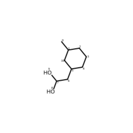 CC1CCCC(CC(O)O)C1